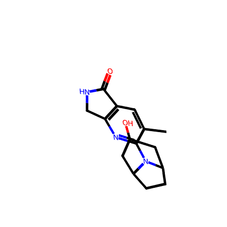 Cc1cc2c(nc1N1C3CCC1CC(O)C3)CNC2=O